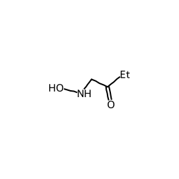 CCC(=O)CNO